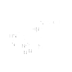 CC[C@@H]1C[C@H](Nc2ccc(C)cn2)C[C@@H]1c1nnc2cnc3[nH]ccc3n12